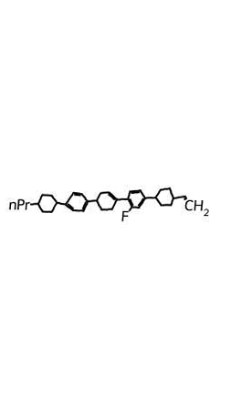 C=CC1CCC(c2ccc(C3=CCC(c4ccc(C5CCC(CCC)CC5)cc4)CC3)c(F)c2)CC1